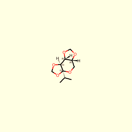 CC(C)[C@]12OCO[C@H]1[C@@H]1OCO[C@@H]1CO2